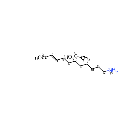 CC(=O)O.CCCCCCCCC=CCCCCCCCCN